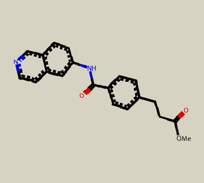 COC(=O)CCc1ccc(C(=O)Nc2ccc3cnccc3c2)cc1